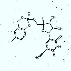 C#Cc1cn([C@@H]2O[C@](F)(COP3(=O)OCc4cc(Cl)ccc4O3)[C@@H](O)[C@H]2O)c(=O)[nH]c1=S